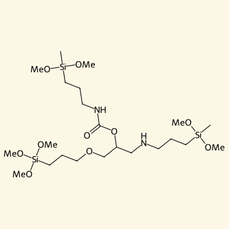 CO[Si](C)(CCCNCC(COCCC[Si](OC)(OC)OC)OC(=O)NCCC[Si](C)(OC)OC)OC